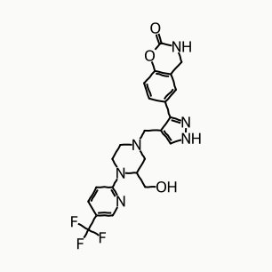 O=C1NCc2cc(-c3n[nH]cc3CN3CCN(c4ccc(C(F)(F)F)cn4)C(CO)C3)ccc2O1